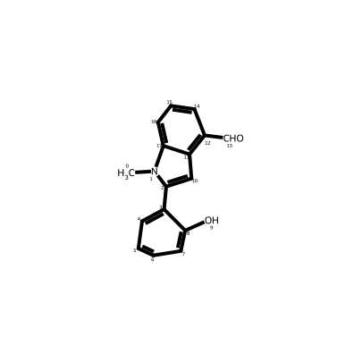 Cn1c(-c2ccccc2O)cc2c(C=O)cccc21